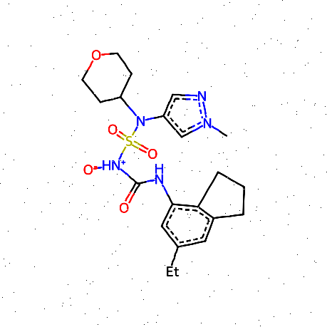 CCc1cc2c(c(NC(=O)[NH+]([O-])S(=O)(=O)N(c3cnn(C)c3)C3CCOCC3)c1)CCC2